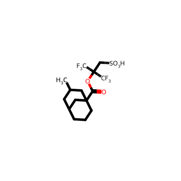 CC1CC2CCCC(C(=O)OC(CS(=O)(=O)O)(C(F)(F)F)C(F)(F)F)(C1)C2